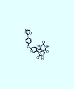 O=C1NC(=O)C2(CNC(=O)N2c2ccc(Oc3ccc(-c4nnco4)cc3)nc2)C(=O)N1